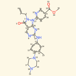 C=CCn1c(=O)c2cnc(Nc3ccc(N4CCN(C)CC4)c(C)c3)nc2n1-c1ccc(C(=O)OC)cn1